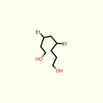 CCC(CCO)CC(CC)CCCO